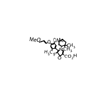 COCCCOc1cc(C)c(-c2c(F)c(=O)c(C(=O)O)cn2[C@H]2CCCCC2(C)C)cc1OC